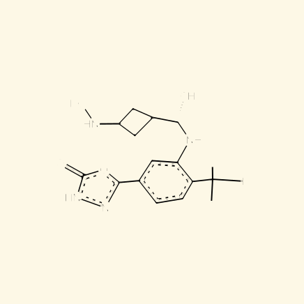 CNC1CC([C@H](C)Nc2cc(-c3n[nH]c(=O)o3)ccc2C(F)(F)F)C1